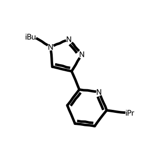 CCC(C)n1cc(-c2cccc(C(C)C)n2)nn1